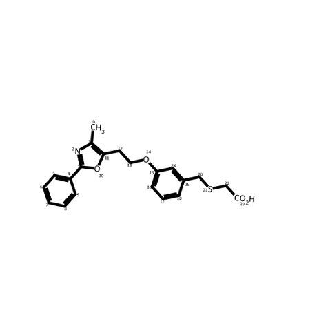 Cc1nc(-c2ccccc2)oc1CCOc1cccc(CSCC(=O)O)c1